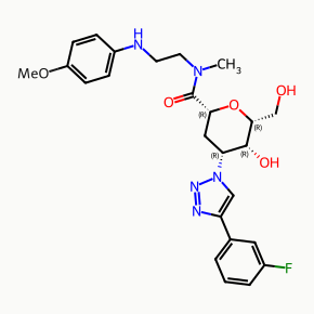 COc1ccc(NCCN(C)C(=O)[C@H]2C[C@@H](n3cc(-c4cccc(F)c4)nn3)[C@@H](O)[C@@H](CO)O2)cc1